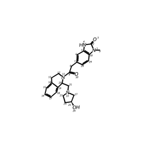 Cn1c(=O)[nH]c2cc(CC(=O)N3CCc4ccccc4C3CN3CC[C@H](O)C3)ccc21